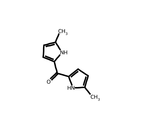 Cc1ccc(C(=O)c2ccc(C)[nH]2)[nH]1